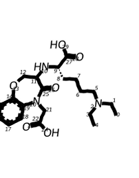 CCN(CC)CCCC[C@H](NC1COc2ccccc2N(CC(=O)O)C1=O)C(=O)O